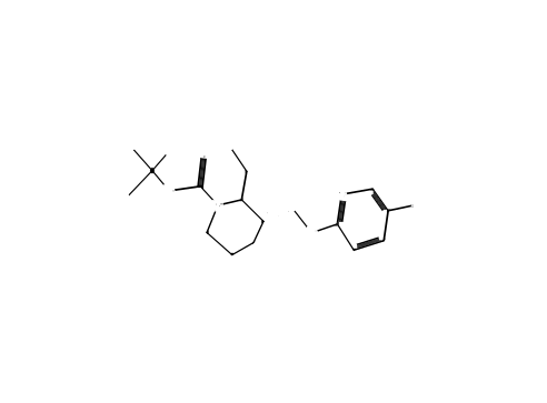 CCC1[C@H](COc2ccc(F)cn2)CCCN1C(=O)OC(C)(C)C